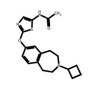 CC(=O)Nc1cnc(Oc2ccc3c(c2)CCN(C2CCC2)CC3)s1